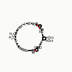 CCCCCCCCC1CC2CCCCC(=O)N[C@H]3CCCC[C@@H]3NC(=O)CCCCCCCCCCCCCCCC(C)CC(C)CCCCCCCCCCCCCCCC(=O)N[C@@H]3CCCC[C@H]3NC(=O)CCCCC2CC1CCCCCCCC